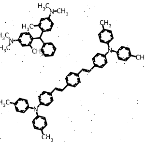 Cc1cc(N(C)C)ccc1C(c1ccccc1)c1ccc(N(C)C)cc1C.Cc1ccc(N(c2ccc(C)cc2)c2ccc(C=Cc3ccc(C=Cc4ccc(N(c5ccc(C)cc5)c5ccc(C)cc5)cc4)cc3)cc2)cc1